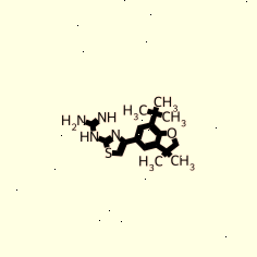 CC(C)(C)c1cc(-c2csc(NC(=N)N)n2)cc2c1OCC2(C)C